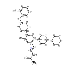 NC(=S)N/N=C/c1cc(F)c(N2CCN(Cc3ccccc3F)CC2)cc1N1CCN(C2CCCCC2)CC1